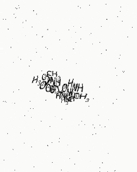 CC(C)[C@H](NC(=O)CCC(=O)NC(=N)NC(=N)N(C)C)C(=O)O